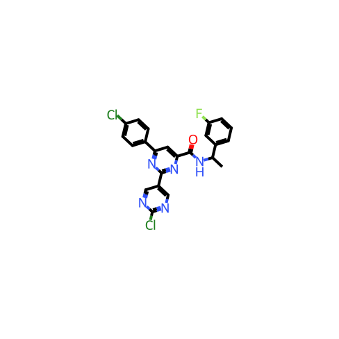 CC(NC(=O)c1cc(-c2ccc(Cl)cc2)nc(-c2cnc(Cl)nc2)n1)c1cccc(F)c1